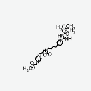 COC(=O)CN1CCN(CC2CN(CCCCC3CCN(C(=N)NC(=O)OC(C)(C)C)CC3)C(=O)O2)CC1